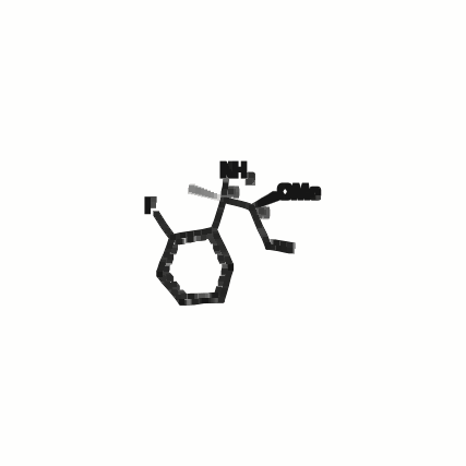 C=C[C@H](OC)[C@](C)(N)c1ccccc1F